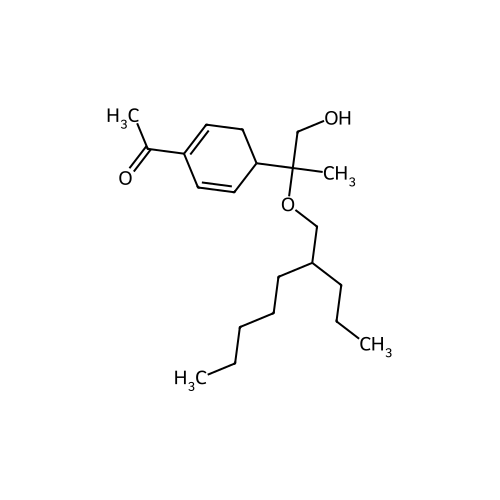 CCCCCC(CCC)COC(C)(CO)C1C=CC(C(C)=O)=CC1